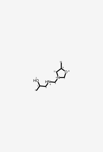 CC(O)CNCN1COC(C)C1